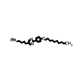 C=CCCCCCCCCOc1ccc(-c2ncc(CCCCC[C@@H](C)CC)cn2)cc1